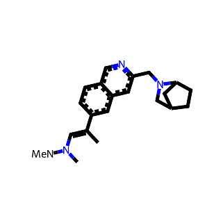 CNN(C)/C=C(\C)c1ccc2cnc(CN3CC4CCC3C4)cc2c1